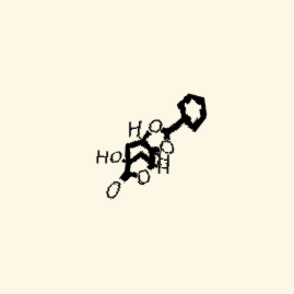 O=C1O[C@@H]2C[C@@]1(O)C[C@H]1OC(c3ccccc3)O[C@@H]21